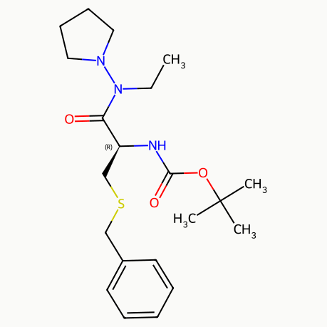 CCN(C(=O)[C@H](CSCc1ccccc1)NC(=O)OC(C)(C)C)N1CCCC1